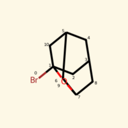 BrC12CC3CC(CC(C3)O1)C2